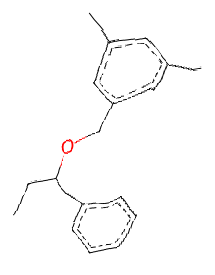 CCC(OCc1cc(C)cc(C)c1)c1ccccc1